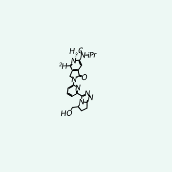 [2H]c1nc(N(C)C(C)C)cc2c1CN(c1cccc(-c3nnc4n3C(CO)CC4)n1)C2=O